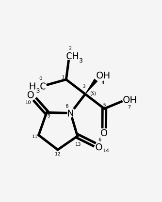 CC(C)[C@](O)(C(=O)O)N1C(=O)CCC1=O